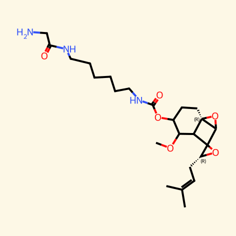 COC1C(OC(=O)NCCCCCCNC(=O)CN)CC[C@]23OC2C2(O[C@@H]2CC=C(C)C)C13